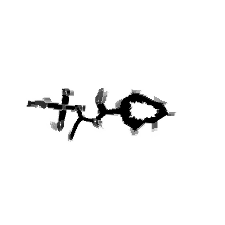 CCCS(=O)(=O)NC(C)OC(=O)c1ccccc1